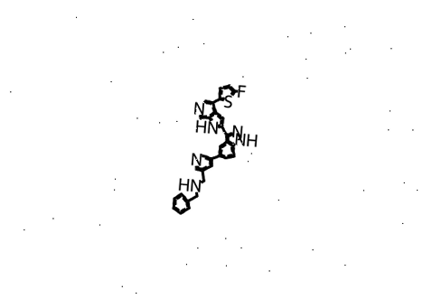 Fc1ccc(-c2cncc3[nH]c(-c4n[nH]c5ccc(-c6cncc(CNCc7ccccc7)c6)cc45)cc23)s1